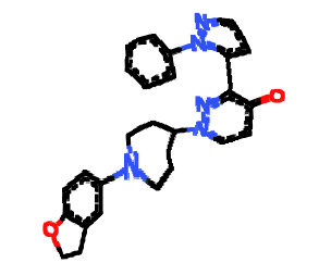 O=c1ccn(C2CCN(c3ccc4c(c3)CCO4)CC2)nc1-c1ccnn1-c1ccccc1